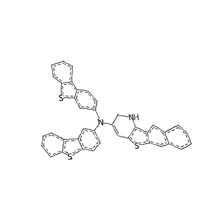 C1=C(N(c2ccc3c(c2)sc2ccccc23)c2ccc3sc4ccccc4c3c2)CNc2c1sc1cc3ccccc3cc21